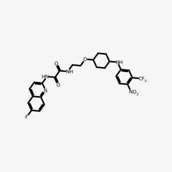 O=C(NCCOC1CCC(Nc2ccc([N+](=O)[O-])c(C(F)(F)F)c2)CC1)C(=O)Nc1ccc2cc(F)ccc2n1